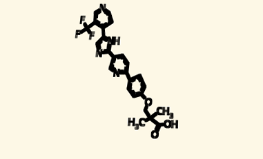 CC(C)(COc1ccc(-c2ccc(-c3ncc(-c4ccncc4C(F)(F)F)[nH]3)cn2)cc1)C(=O)O